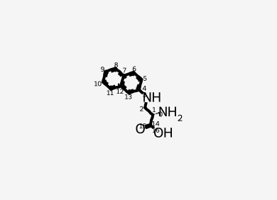 N[C@@H](CNc1ccc2ccccc2c1)C(=O)O